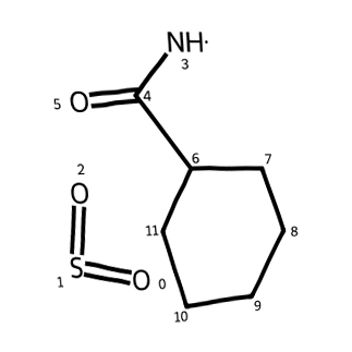 O=S=O.[NH]C(=O)C1CCCCC1